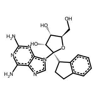 Nc1nc(N)c2ncn([C@]3(C4CCc5ccccc54)O[C@H](CO)[C@@H](O)[C@H]3O)c2n1